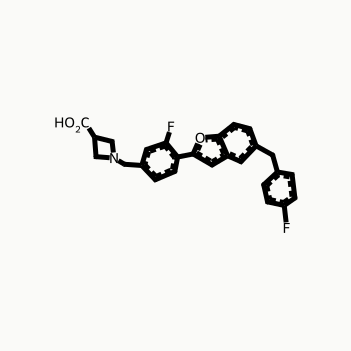 O=C(O)C1CN(Cc2ccc(-c3cc4cc(Cc5ccc(F)cc5)ccc4o3)c(F)c2)C1